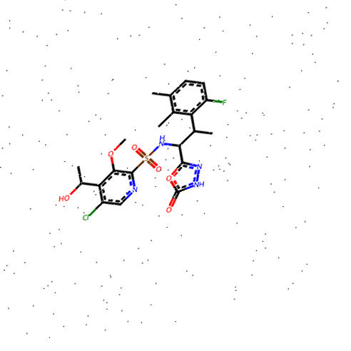 COc1c(S(=O)(=O)NC(c2n[nH]c(=O)o2)C(C)c2c(F)ccc(C)c2C)ncc(Cl)c1C(C)O